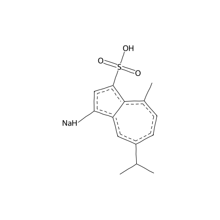 Cc1cc(S(=O)(=O)O)c2c(C)ccc(C(C)C)cc1-2.[NaH]